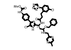 COC(=O)Nc1ccc(-c2nc([C@H](CC(NCc3cnc(C)cn3)OCc3ccccc3)NC(=O)CCc3cc(Cl)ccc3-n3cnnn3)[nH]c2Cl)cc1